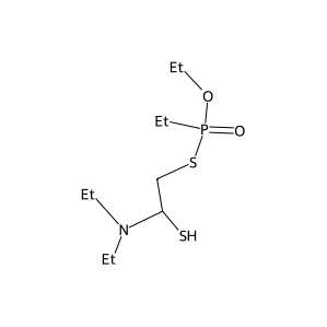 CCOP(=O)(CC)SCC(S)N(CC)CC